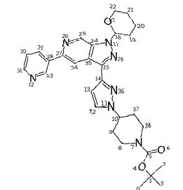 CC(C)(C)OC(=O)N1CCC(n2ccc(-c3nn(C4CCCCO4)c4cnc(-c5cccnc5)cc34)n2)CC1